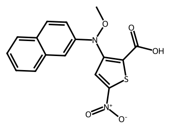 CON(c1ccc2ccccc2c1)c1cc([N+](=O)[O-])sc1C(=O)O